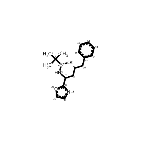 CC(C)(C)[S+]([O-])NC(CCCc1ccccc1)c1ncco1